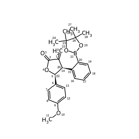 C=C1C(=O)O[C@H](c2ccc(OC)cc2)[C@@H]1c1ccccc1B1OC(C)(C)C(C)(C)O1